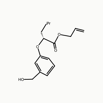 C=CCOC(=O)[C@@H](CC(C)C)Oc1cccc(CO)c1